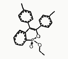 CCOP1(=O)OC(c2ccc(C)cc2)=C(c2ccc(C)cc2)c2ccccc21